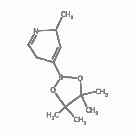 CC1C=C(B2OC(C)(C)C(C)(C)O2)CC=N1